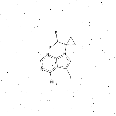 Nc1ncnc2c1c(I)cn2C1(C(F)F)CC1